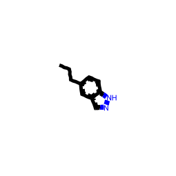 CCCc1ccc2[nH]ncc2c1